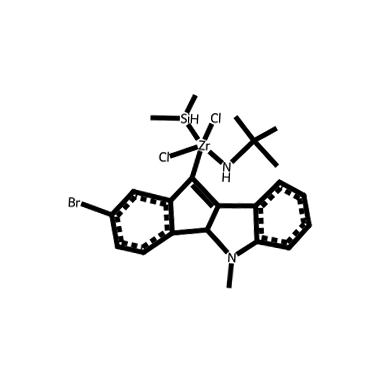 CN1c2ccccc2C2=[C]([Zr]([Cl])([Cl])([NH]C(C)(C)C)[SiH](C)C)c3cc(Br)ccc3C21